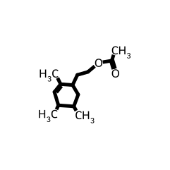 CC(=O)OCCC1CC(C)C(C)C=C1C